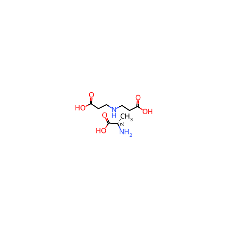 C[C@H](N)C(=O)O.O=C(O)CCNCCC(=O)O